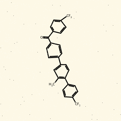 Cc1cc(-c2ccc(C(=O)c3ccc(C(F)(F)F)cc3)cc2)ccc1-c1ccc(C(F)(F)F)cc1